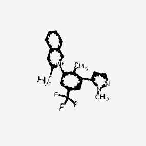 Cc1c(-c2ccnn2C)cc(C(F)(F)F)cc1-[n+]1cc2ccccc2cc1C